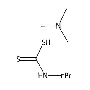 CCCNC(=S)S.CN(C)C